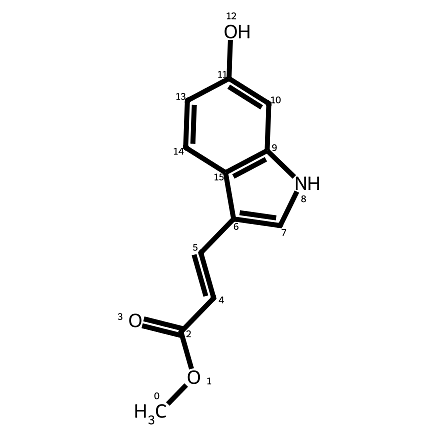 COC(=O)/C=C/c1c[nH]c2cc(O)ccc12